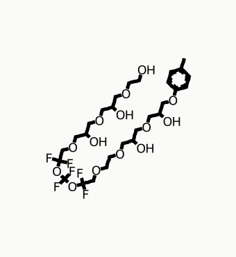 Cc1ccc(OCC(O)COCC(O)COCCOCC(F)(F)OC(F)(F)OC(F)(F)COCC(O)COCC(O)COCCO)cc1